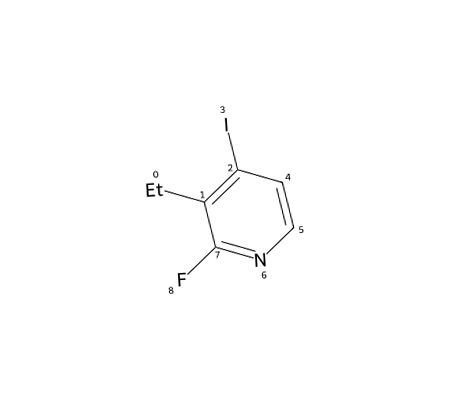 CCc1c(I)ccnc1F